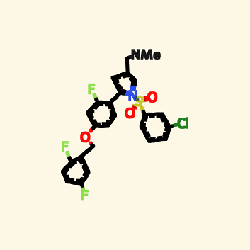 CNCc1cc(-c2ccc(OCc3cc(F)ccc3F)cc2F)n(S(=O)(=O)c2cccc(Cl)c2)c1